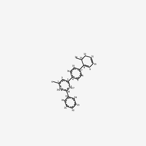 Cc1cc(-c2ccc(C3=CC=CCC3C)cc2)nc(-c2ccccc2)n1